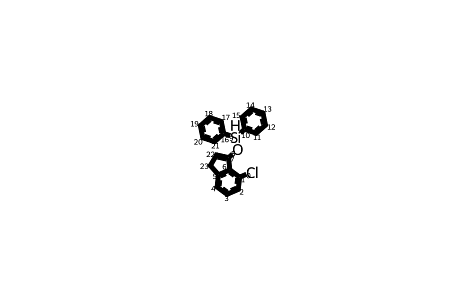 Clc1cccc2c1C(O[SiH](c1ccccc1)c1ccccc1)=CC2